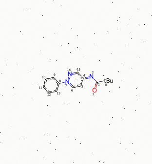 CC(C)(C)C(=O)/N=c1\ccn(-c2ccccc2)nc1